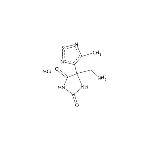 Cc1nsnc1C1(CN)NC(=O)NC1=O.Cl